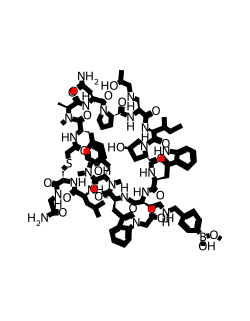 CCCC[C@@H](C(=O)N(C)C)N(C)C(=O)[C@H](Cc1cn(CC(=O)O)c2ccccc12)NC(=O)[C@H](CCNCc1ccc(B(O)OC)cc1)NC(=O)[C@H](Cc1c[nH]c2ccccc12)NC(=O)[C@@H]1C[C@@H](O)CN1C(=O)[C@@H](NC(=O)[C@H](CNCC(C)O)NC(=O)[C@@H]1CCCN1C(=O)[C@H](CC(N)=O)NC(=O)[C@H](C)N(C)C(=O)[C@H](Cc1ccc(O)cc1)NC(=O)CSC[C@H](NC(=O)[C@@H](N)CC(C)C)C(=O)NCC(N)=O)C(C)CC